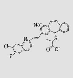 CC(SC1c2ccccc2C=Cc2ccc(C=Cc3ccc4cc(F)c(Cl)cc4n3)cc21)C(=O)[O-].[Na+]